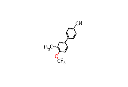 Cc1cc(-c2ccc(C#N)cc2)ccc1OC(F)(F)F